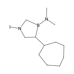 CN(C)B1CN(I)CC1C1CCCCCC1